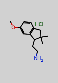 COc1ccc2c(c1)C(CCN)C(C)(C)C2.Cl